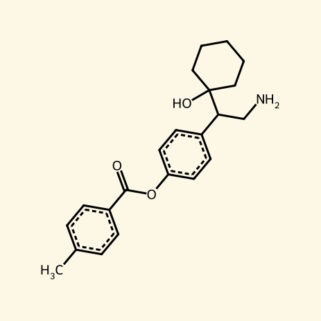 Cc1ccc(C(=O)Oc2ccc(C(CN)C3(O)CCCCC3)cc2)cc1